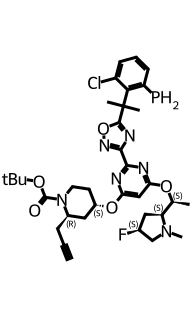 C#CC[C@@H]1C[C@@H](Oc2cc(O[C@@H](C)[C@@H]3C[C@H](F)CN3C)nc(-c3noc(C(C)(C)c4c(P)cccc4Cl)n3)n2)CCN1C(=O)OC(C)(C)C